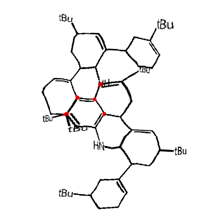 CC(C)(C)C1=CCCC(C2=CC(C(C)(C)C)CC(C3=CCCC(C(C)(C)C)C3)C2Nc2cc(NC3C(C4CCC=C(C(C)(C)C)C4)=CC(C(C)(C)C)CC3C3=CCCC(C(C)(C)C)C3)cc(C(C)(C)C)c2)C1